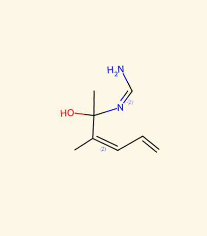 C=C/C=C(/C)C(C)(O)/N=C\N